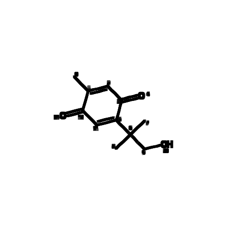 CC1=CC(=O)C(C(C)(C)CO)=CC1=O